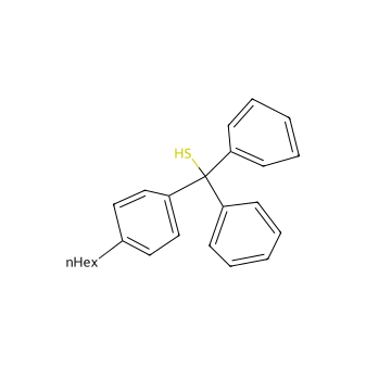 CCCCCCc1ccc(C(S)(c2ccccc2)c2ccccc2)cc1